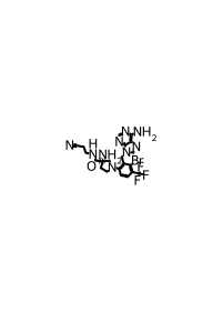 N#CCCNC(=O)[C@@]1(N)CCN(c2ccc(C(F)(F)F)c(Br)c2Cn2cnc3c(N)ncnc32)C1